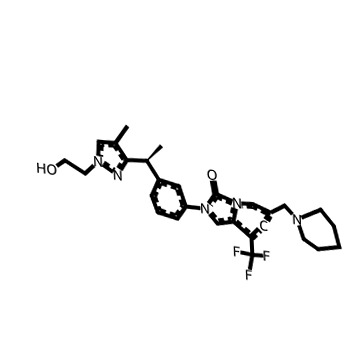 Cc1cn(CCO)nc1[C@@H](C)c1cccc(-n2cc3c(C(F)(F)F)cc(CN4CCCCC4)cn3c2=O)c1